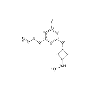 CNC1CC(Oc2cc(F)cc(OCC=O)c2)C1